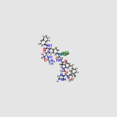 CNC(C)C(=O)NC(C(=O)N1Cc2cc(NC(=O)CNC(=O)[C@@]3(C)CN(C(=O)CN4C[C@@H](C)NC[C@@H]4CN4CCOC[C@H]4C)c4cc(Cc5ccc(F)cc5)ccc43)ccc2C[C@H]1C(=O)N[C@@H]1CCCc2ccccc21)C(C)(C)C.Cl.Cl.Cl